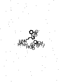 CC1(C)C2CCC1(CS(=O)(=O)O)C(=O)C2.[H]/N=C(\N)NN=CC=Cc1cccn1-c1ccccc1[N+](=O)[O-]